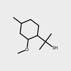 COC1CC(C)CCC1C(C)(C)S